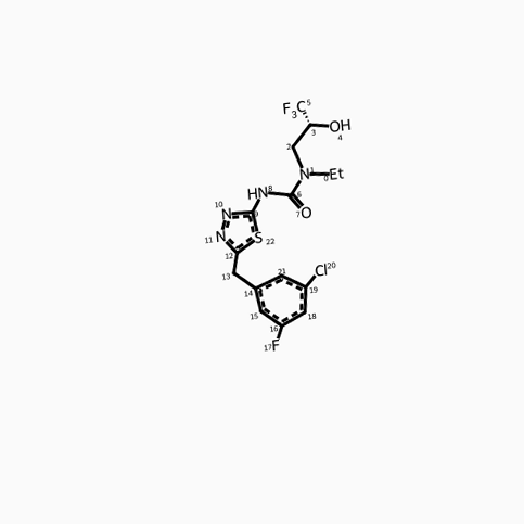 CCN(C[C@@H](O)C(F)(F)F)C(=O)Nc1nnc(Cc2cc(F)cc(Cl)c2)s1